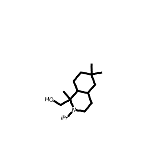 CC(C)N1CCC2CC(C)(C)CCC2C1(C)CO